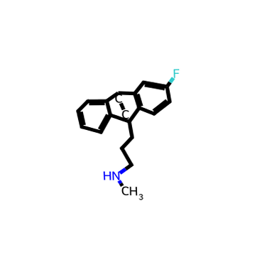 CNCCCC12CCC(c3ccccc31)c1cc(F)ccc12